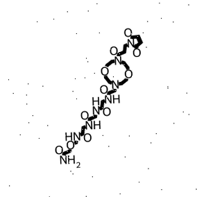 NC(=O)COCNC(=O)CNC(=O)CNC(=O)CNC(=O)CN1CCOCCN(C(=O)CCN2C(=O)C=CC2=O)CCOCC1